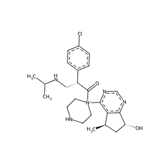 CC(C)NC[C@@H](C(=O)[N+]1(c2ncnc3c2[C@H](C)C[C@H]3O)CCNCC1)c1ccc(Cl)cc1